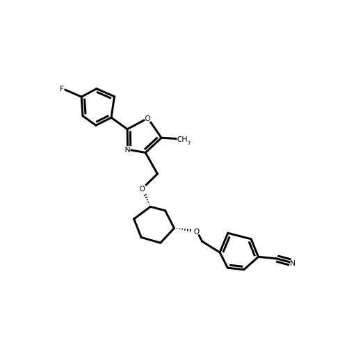 Cc1oc(-c2ccc(F)cc2)nc1CO[C@H]1CCC[C@@H](OCc2ccc(C#N)cc2)C1